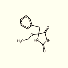 CCOC1(Cc2ccccc2)NC(=O)NC1=O